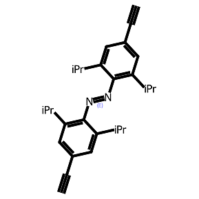 C#Cc1cc(C(C)C)c(/N=N/c2c(C(C)C)cc(C#C)cc2C(C)C)c(C(C)C)c1